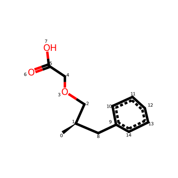 C[C@@H](COCC(=O)O)Cc1ccccc1